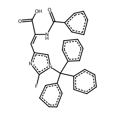 O=C(O)C(=Cc1cn(C(c2ccccc2)(c2ccccc2)c2ccccc2)c(F)n1)NC(=O)c1ccccc1